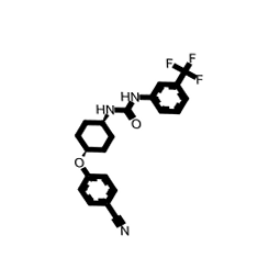 N#Cc1ccc(O[C@H]2CC[C@H](NC(=O)Nc3cccc(C(F)(F)F)c3)CC2)cc1